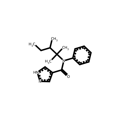 CCC(C)C(C)(C)N(C(=O)c1cn[nH]c1)c1ccccc1